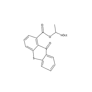 CCCCCCCCC(C)OC(=O)c1cccc2sc3ccccc3c(=O)c12